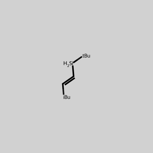 CCC(C)C=C[SiH2]C(C)(C)C